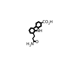 NC(=O)CCc1cccc2c1[nH]c1cc(C(=O)O)ccc12